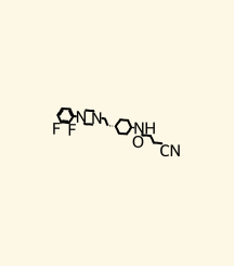 N#CCCCC(=O)N[C@H]1CC[C@H](CCN2CCN(c3cccc(F)c3F)CC2)CC1